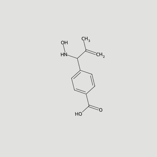 C=C(C)C(NO)c1ccc(C(=O)O)cc1